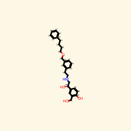 OCc1cc([C@@H](O)CNCCc2cccc(COCCCCc3ccccc3)c2)ccc1O